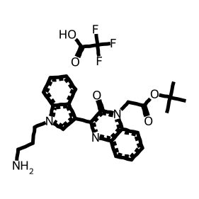 CC(C)(C)OC(=O)Cn1c(=O)c(-c2cn(CCCN)c3ccccc23)nc2ccccc21.O=C(O)C(F)(F)F